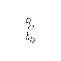 CCN(CCCC(=O)c1ccccc1)Cc1ccccc1